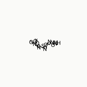 COCCN(Cc1ccc(-c2cc3nccc(Oc4ccc(NC(=O)NC5CC5)nc4)c3s2)nc1)C(=O)OC(C)(C)C